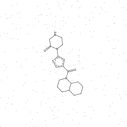 O=C1CNCCN1c1cc(C(=O)N2CCCC3CCCCC32)cs1